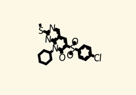 CSc1ncc2cc(S(=O)(=O)c3ccc(Cl)cc3)c(=O)n(C3CCCCC3)c2n1